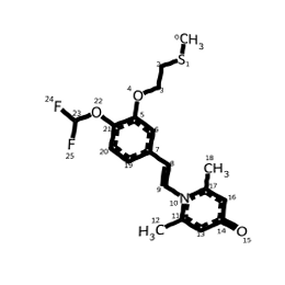 CSCCOc1cc(/C=C/n2c(C)cc(=O)cc2C)ccc1OC(F)F